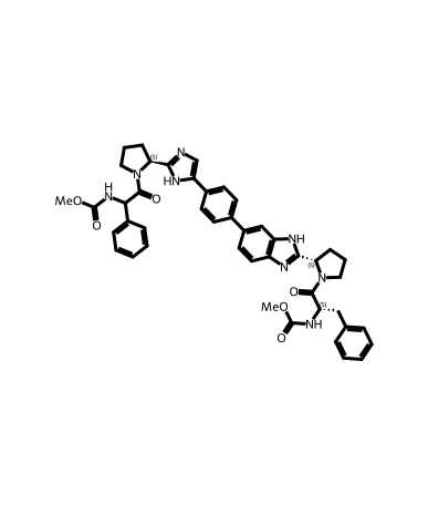 COC(=O)NC(C(=O)N1CCC[C@H]1c1ncc(-c2ccc(-c3ccc4nc([C@@H]5CCCN5C(=O)[C@H](Cc5ccccc5)NC(=O)OC)[nH]c4c3)cc2)[nH]1)c1ccccc1